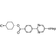 CCCCCCCc1cnc(-c2ccc(C(=O)O[C@H]3CC[C@H](C#N)CC3)cc2)nc1